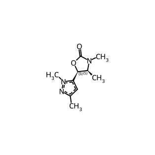 Cc1cc([C@H]2OC(=O)N(C)[C@H]2C)n(C)n1